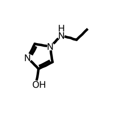 CCNn1cnc(O)c1